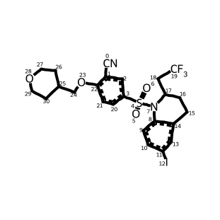 N#Cc1cc(S(=O)(=O)N2c3ccc(I)cc3CCC2CC(F)(F)F)ccc1OCC1CCOCC1